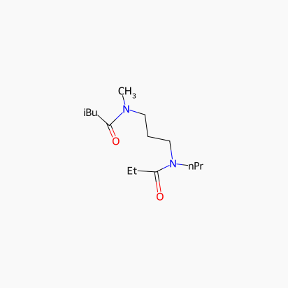 CCCN(CCCN(C)C(=O)C(C)CC)C(=O)CC